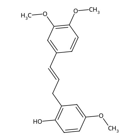 COc1ccc(O)c(CC=Cc2ccc(OC)c(OC)c2)c1